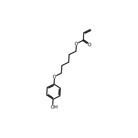 C=CC(=O)OCCCCCOc1ccc(O)cc1